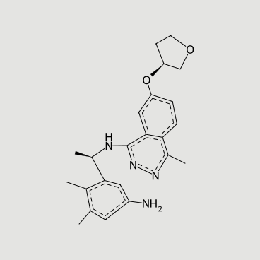 Cc1cc(N)cc([C@@H](C)Nc2nnc(C)c3ccc(O[C@H]4CCOC4)cc23)c1C